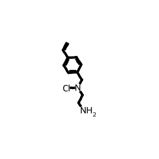 C=Cc1ccc(CN(Cl)CCN)cc1